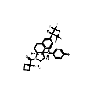 NC1(C(=O)N2CC[C@@]3(S(=O)(=O)c4ccc(F)cc4)c4ccc(C(F)(C(F)(F)F)C(F)(F)F)cc4CC[C@@H]23)CCC1